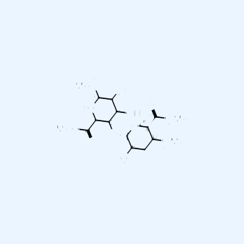 COC(=O)C1OC(OC)C(O)C(O)C1O[C@@H]1O[C@@H](C(=O)OC)C(OC)CC1O